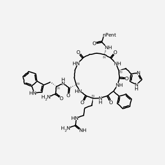 CCCCCC(=O)N[C@H]1CCC(=O)NCC[C@@H](C(=O)N[C@@H](Cc2c[nH]c3ccccc23)C(N)=O)NC(=O)[C@H](CCCNC(=N)N)NC(=O)C(c2ccccc2)NC(=O)[C@H](Cc2c[nH]cn2)NC1=O